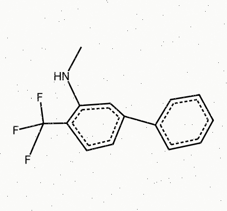 CNc1cc(-c2ccccc2)ccc1C(F)(F)F